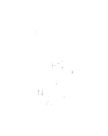 NC(=O)c1ccc(C(=O)N[C@@H]2CCCc3cc(Cl)ccc32)s1